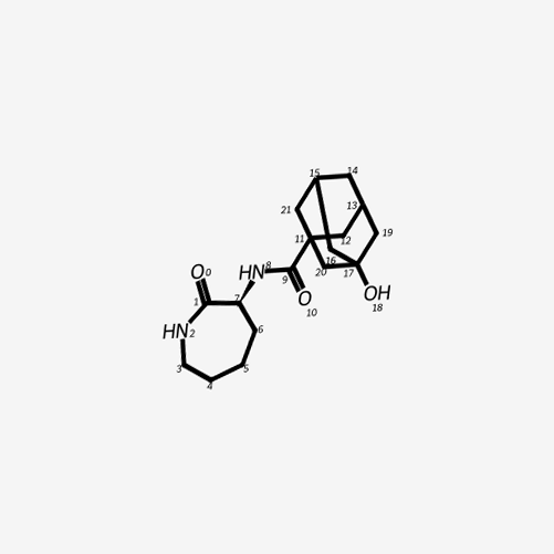 O=C1NCCCC[C@@H]1NC(=O)C12CC3CC(CC(O)(C3)C1)C2